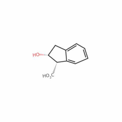 O=C(O)[C@H]1c2ccccc2C[C@H]1O